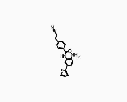 N#CCCc1ccc(C(=O)Nc2cc(-c3cccs3)ccc2N)cc1